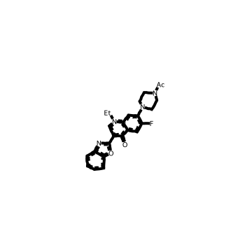 CCn1cc(-c2nc3ccccc3o2)c(=O)c2cc(F)c(N3CCN(C(C)=O)CC3)cc21